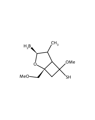 B[C@@H]1O[C@@]2(COC)CC(S)(OC)C2C1C